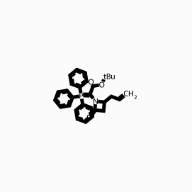 C=CCC1CC(=O)N1C(C(=O)OC(C)(C)C)=P(c1ccccc1)(c1ccccc1)c1ccccc1